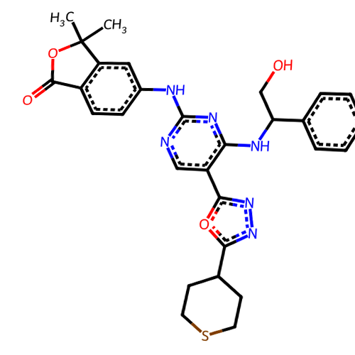 CC1(C)OC(=O)c2ccc(Nc3ncc(-c4nnc(C5CCSCC5)o4)c(NC(CO)c4ccccc4)n3)cc21